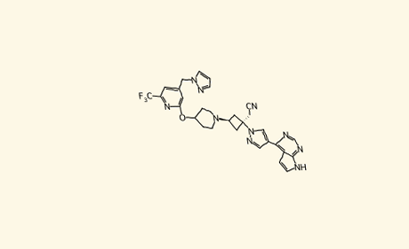 N#CC[C@]1(n2cc(-c3ncnc4[nH]ccc34)cn2)C[C@@H](N2CCC(Oc3cc(Cn4cccn4)cc(C(F)(F)F)n3)CC2)C1